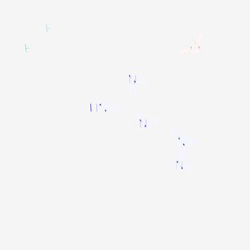 COCc1cc(-n2ccc(C)n2)nc(NC2CCC(F)(F)CC2)n1